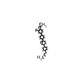 C=CCCc1ccc(C2CCC(c3ccc(-c4ccc(OCC)c(F)c4)cc3)OC2)cc1